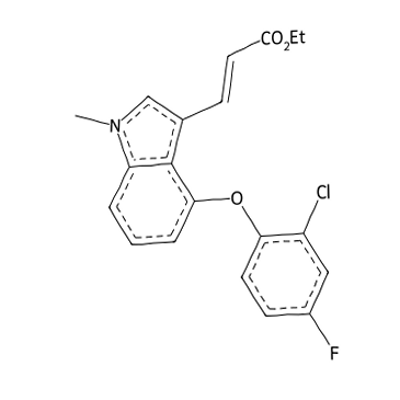 CCOC(=O)C=Cc1cn(C)c2cccc(Oc3ccc(F)cc3Cl)c12